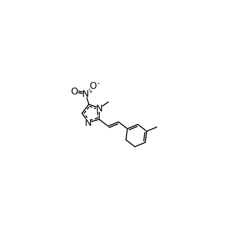 CC1=CCCC(/C=C/c2ncc([N+](=O)[O-])n2C)=C1